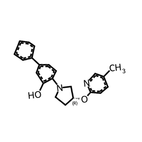 Cc1ccc(O[C@@H]2CCN(c3ccc(-c4ccccc4)cc3O)C2)nc1